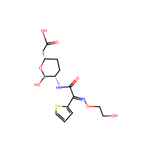 O=C(O)C[C@@H]1CC[C@H](NC(=O)/C(=N/OCCO)c2cccs2)B(O)O1